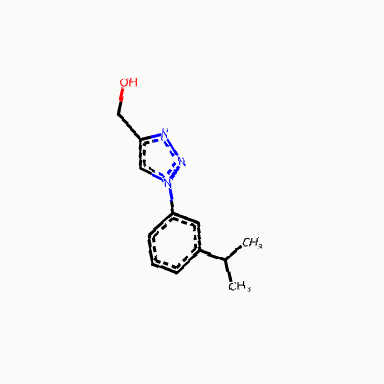 CC(C)c1cccc(-n2cc(CO)nn2)c1